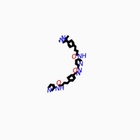 Cc1nn(C)cc1-c1ccc(CCCC(=O)Nc2ccc(-c3nnc(-c4ccc(CCCC(=O)Nc5cccnc5)cc4)o3)nc2)cc1